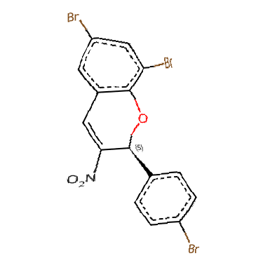 O=[N+]([O-])C1=Cc2cc(Br)cc(Br)c2O[C@H]1c1ccc(Br)cc1